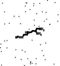 CCCCCCCNCCC(N)CN